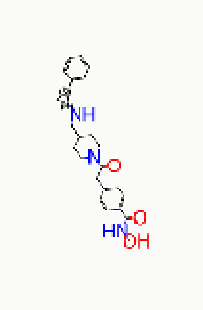 O=C(NO)c1ccc(CC(=O)N2CCC(CN[C@@H]3C[C@H]3c3ccccc3)CC2)cc1